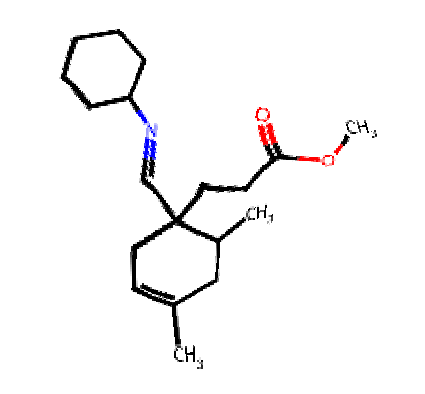 COC(=O)CCC1(/C=N/C2CCCCC2)CC=C(C)CC1C